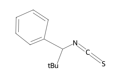 CC(C)(C)C(N=C=S)c1ccccc1